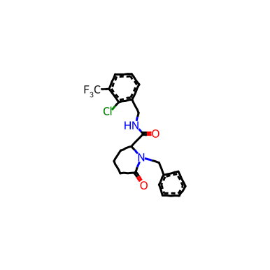 O=C(NCc1cccc(C(F)(F)F)c1Cl)C1CCCC(=O)N1Cc1ccccc1